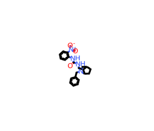 O=C(NCC1C2CCC1N(Cc1ccccc1)C2)Nc1ccccc1[N+](=O)[O-]